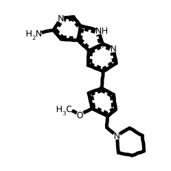 COc1cc(-c2cnc3[nH]c4cnc(N)cc4c3c2)ccc1CN1CCCCC1